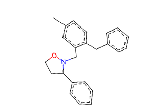 Cc1ccc(Cc2ccccc2)c(CN2OCCC2c2ccccc2)c1